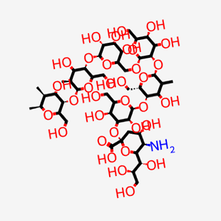 CC1C(O)[C@H](O[C@@H]2OC(CO)[C@H](O)C(O[C@]3(C(=O)O)C[C@@H](O)[C@@H](N)C([C@H](O)[C@H](O)CO)O3)[C@@H]2O)[C@H](CO)O[C@H]1O[C@@H]1C(O)[C@H](O)C(CO)O[C@@H]1OCC1O[C@@H](O[C@@H]2C(CO)O[C@@H](O[C@@H]3C(CO)O[C@@H](C)[C@@H](C)C3O)[C@@H](C)C2O)[C@H](O)C(O)[C@@H]1O